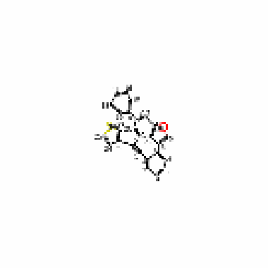 C(#Cc1ccccc1-c1coc2cc(-c3ccccc3)ccc12)c1ccsc1